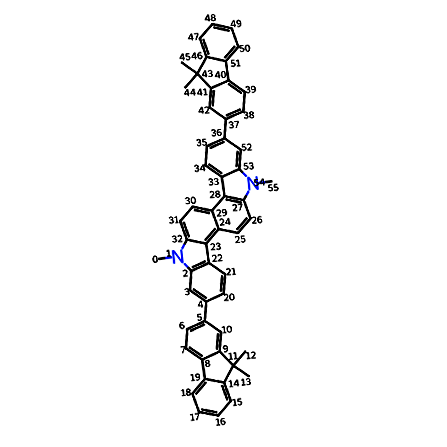 Cn1c2cc(-c3ccc4c(c3)C(C)(C)c3ccccc3-4)ccc2c2c3ccc4c(c3ccc21)c1ccc(-c2ccc3c(c2)C(C)(C)c2ccccc2-3)cc1n4C